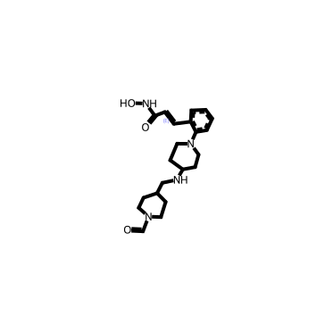 O=CN1CCC(CNC2CCN(c3ccccc3/C=C/C(=O)NO)CC2)CC1